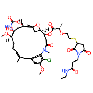 CCNC(=O)CCN1C(=O)CC(SCCO[C@@H](C)C(=O)O[C@H]2CC(=O)N(C)c3cc(cc(OC)c3Cl)C/C(C)=C/C=C/[C@@H](OC)[C@@]3(O)C[C@H](OC(=O)N3)C3(C)C[C@@]2(C)O3)C1=O